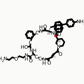 NCCOCCNC(=O)[C@@H]1CCNC(=O)/C=C/C(=O)N2CCC[C@](Cc3ccccc3)(C2)C(=O)N[C@@H](Cc2ccc(-c3ccc(N)cc3)cc2)C(=O)NCc2ccccc2CC(O)N1